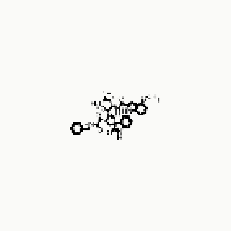 COc1cccc2[nH]c(C(=O)N[C@@H](CC(C)C)C(=O)N3C[C@]4(C[C@H]3C(=O)C(=O)NCc3ccccc3)C(=O)Nc3ccccc34)cc12